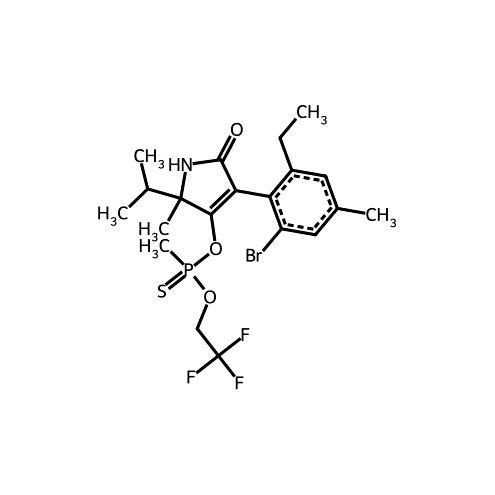 CCc1cc(C)cc(Br)c1C1=C(OP(C)(=S)OCC(F)(F)F)C(C)(C(C)C)NC1=O